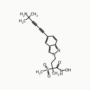 CC(C)(N)C#CC#Cc1ccc2nn(CC[C@](C)(C(=O)NO)S(C)(=O)=O)cc2c1